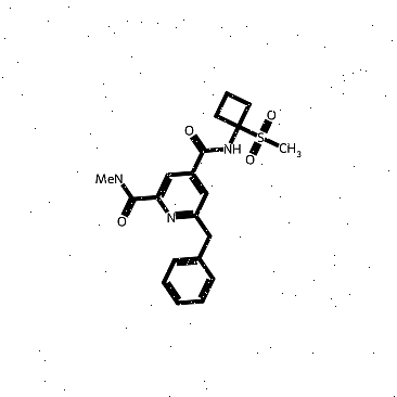 CNC(=O)c1cc(C(=O)NC2(S(C)(=O)=O)CCC2)cc(Cc2ccccc2)n1